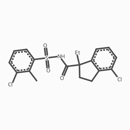 CCC1(C(=O)NS(=O)(=O)c2cccc(Cl)c2C)CCc2c(Cl)cccc21